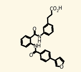 O=C(O)CCc1cccc(NC(=O)c2ccccc2NC(=O)c2ccc(-c3ccoc3)cc2)c1